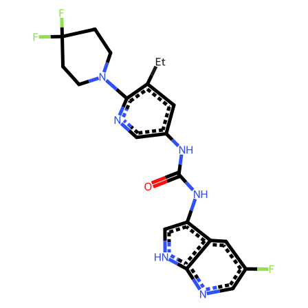 CCc1cc(NC(=O)Nc2c[nH]c3ncc(F)cc23)cnc1N1CCC(F)(F)CC1